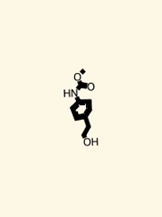 COC(=O)Nc1ccc(CCO)cc1